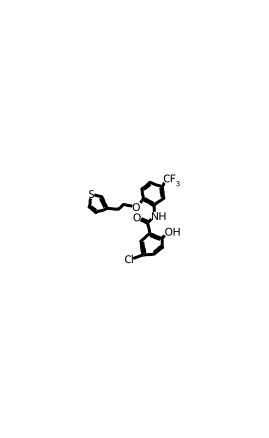 O=C(Nc1cc(C(F)(F)F)ccc1OCCc1ccsc1)c1cc(Cl)ccc1O